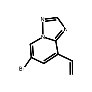 C=Cc1cc(Br)cn2ncnc12